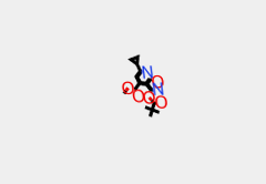 COC(=O)c1cc(C2CC2)nc2onc(OC(=O)C(C)(C)C)c12